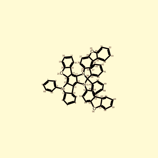 c1ccc(-n2c3ccccc3c3c4c(c5c6ccccc6oc5c32)N(c2ccc3oc5ccccc5c3c2)C(c2ccccc2)(c2ccccc2)N4c2ccc3oc4ccccc4c3c2)cc1